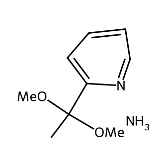 COC(C)(OC)c1ccccn1.N